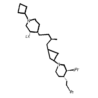 CC[C@@H]1CN(C2CCC2)CC[C@H]1CCC(C)CC1CC(N2CC[C@@H](CCC(C)C)[C@H](C(C)C)C2)C1